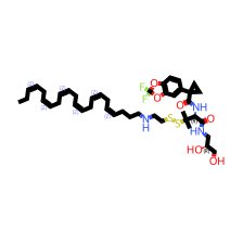 CC/C=C\C/C=C\C/C=C\C/C=C\C/C=C\C/C=C\CCCNCCSSC(C)(C)[C@H](NC(=O)C1(c2ccc3c(c2)OC(F)(F)O3)CC1)C(=O)NC[C@@H](O)CO